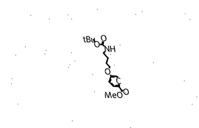 COC(=O)c1ccc(OCCCCNC(=O)OC(C)(C)C)cc1